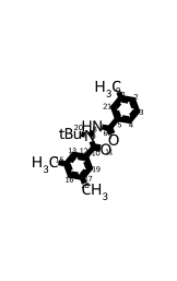 Cc1cccc(C(=O)NN(C(=O)c2cc(C)cc(C)c2)C(C)(C)C)c1